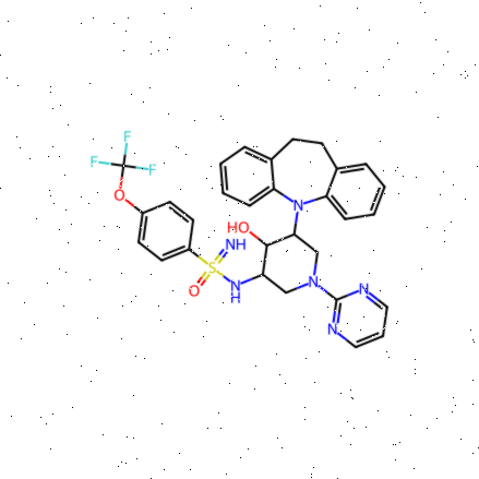 N=S(=O)(NC1CN(c2ncccn2)CC(N2c3ccccc3CCc3ccccc32)C1O)c1ccc(OC(F)(F)F)cc1